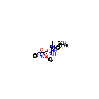 CCc1c(OCc2ccccc2CNC(=O)Nc2ccnn2-c2cccc(C(C)(C)C)c2)ncn(Cc2ccccc2)c1=O